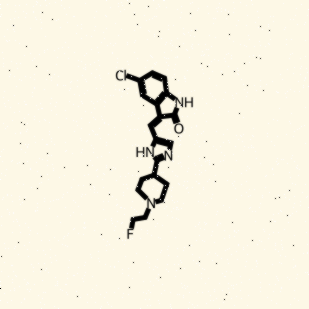 O=C1Nc2ccc(Cl)cc2C1=Cc1cnc(C2CCN(CCF)CC2)[nH]1